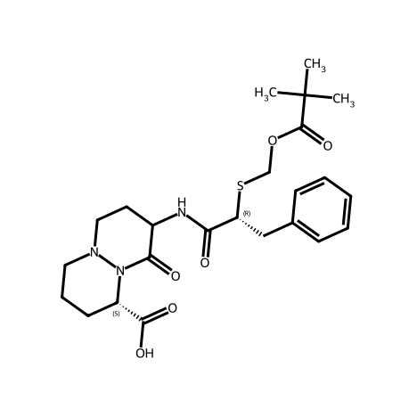 CC(C)(C)C(=O)OCS[C@H](Cc1ccccc1)C(=O)NC1CCN2CCC[C@@H](C(=O)O)N2C1=O